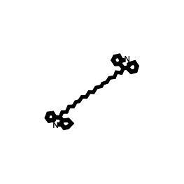 c1ccc2c(CCCCCCCCCCCCCCCCCCc3c4ccccc4nc4ccccc34)c3ccccc3nc2c1